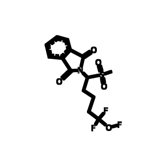 CS(=O)(=O)C(CCCC(F)(F)OF)N1C(=O)c2ccccc2C1=O